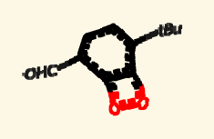 CC(C)(C)c1ccc([C]=O)c2ooc12